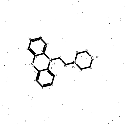 c1ccc2c(c1)Sc1ccccc1N2CCN1CCOCC1